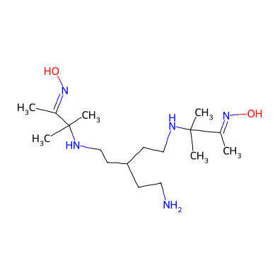 C/C(=N\O)C(C)(C)NCCC(CCN)CCNC(C)(C)/C(C)=N/O